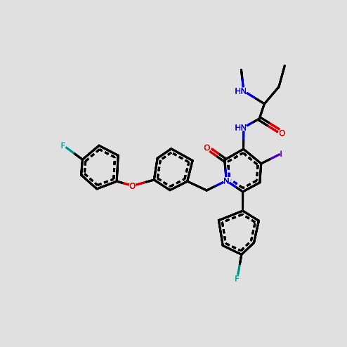 CCC(NC)C(=O)Nc1c(I)cc(-c2ccc(F)cc2)n(Cc2cccc(Oc3ccc(F)cc3)c2)c1=O